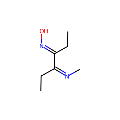 CCC(=NC)C(CC)=NO